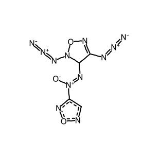 [N-]=[N+]=NC1=NON(N=[N+]=[N-])C1N=[N+]([O-])c1cnon1